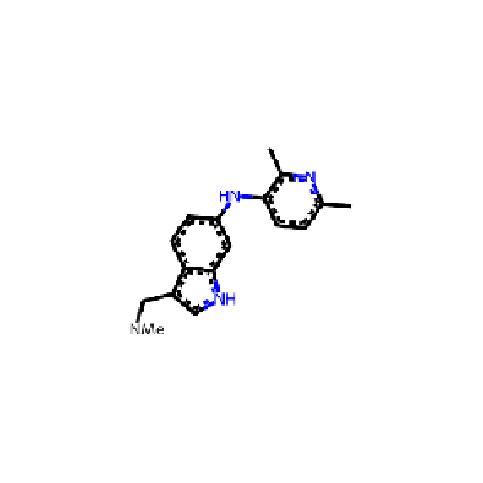 CNCc1c[nH]c2cc(Nc3ccc(C)nc3C)ccc12